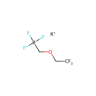 F[B-](F)(F)COCC(F)(F)F.[K+]